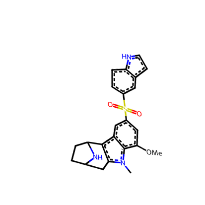 COc1cc(S(=O)(=O)c2ccc3[nH]ccc3c2)cc2c3c(n(C)c12)CC1CCC3N1